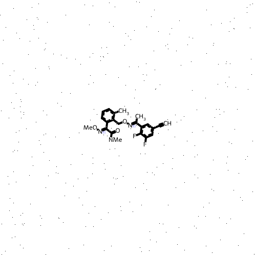 C#Cc1cc(F)c(F)c(/C(C)=N/OCc2c(C)cccc2/C(=N\OC)C(=O)NC)c1